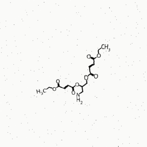 CCOC(=O)/C=C/C(=O)OCC(CN)OC(=O)/C=C/C(=O)OCC